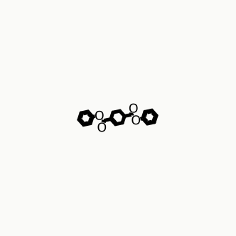 O=C(Oc1ccccc1)C1=CCC(C(=O)Oc2ccccc2)CC1